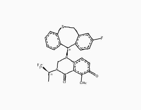 CC(=O)Oc1c2n(ccc1=O)N([C@@H]1c3ccc(F)cc3CSc3ccccc31)CN([C@@H](C)C(F)(F)F)C2=O